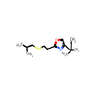 CC(C)CSCCc1nc(C(C)(C)C)co1